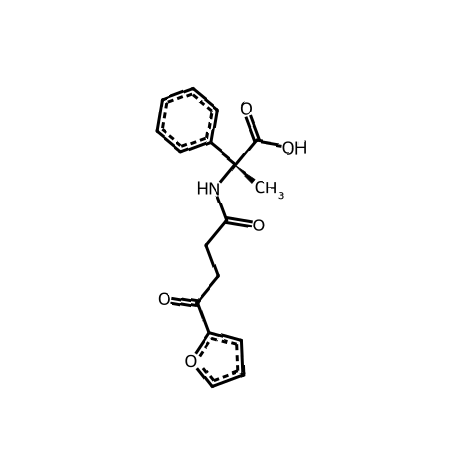 C[C@](NC(=O)CCC(=O)c1ccco1)(C(=O)O)c1ccccc1